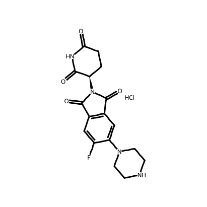 Cl.O=C1CC[C@@H](N2C(=O)c3cc(F)c(N4CCNCC4)cc3C2=O)C(=O)N1